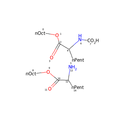 CCCCCCCCOC(=O)C(CCCCC)NC(=O)O.CCCCCCCCOC(=O)C(N)CCCCC